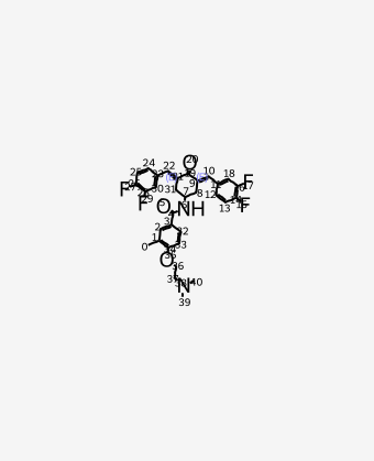 Cc1cc(C(=O)NC2C/C(=C\c3ccc(F)c(F)c3)C(=O)/C(=C/c3ccc(F)c(F)c3)C2)ccc1OCCN(C)C